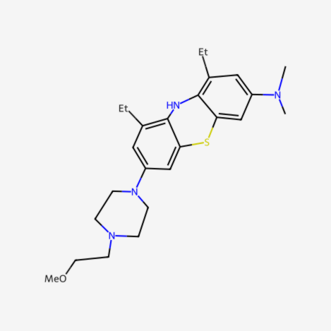 CCc1cc(N(C)C)cc2c1Nc1c(CC)cc(N3CCN(CCOC)CC3)cc1S2